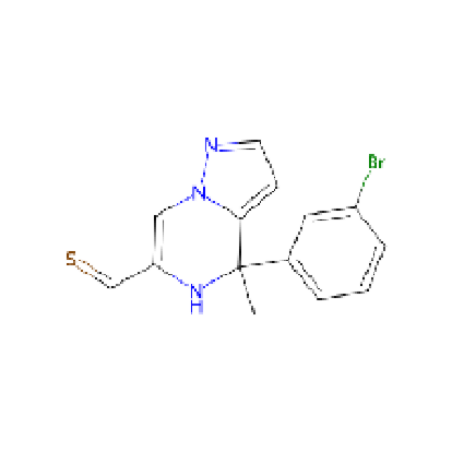 CC1(c2cccc(Br)c2)NC(C=S)=Cn2nccc21